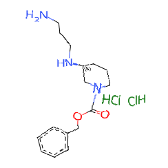 Cl.Cl.NCCCN[C@H]1CCCN(C(=O)OCc2ccccc2)C1